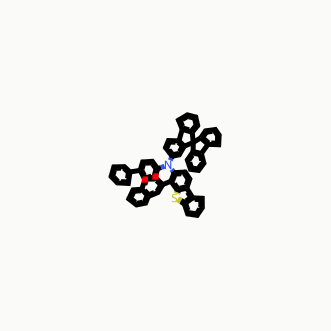 c1ccc(-c2ccc(N(c3ccc4c(c3)C3(c5ccccc5-c5ccccc53)c3ccccc3-4)c3ccc4c(sc5ccccc54)c3-c3ccc4ccccc4c3)cc2)cc1